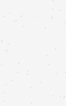 C[SiH2]C1=C(P(C(C)C)C(C)C)CC=C1